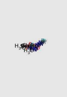 CC(Cn1ccc(=O)c(C(=O)N2CCN(c3ncc(C(F)(F)F)cn3)CC2)c1)Nc1cnn(COCC[Si](C)(C)C)c(=O)c1C(F)(F)F